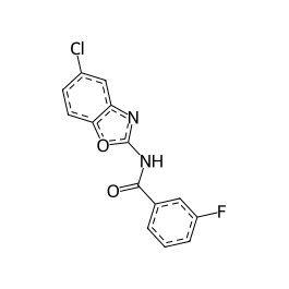 O=C(Nc1nc2cc(Cl)ccc2o1)c1cccc(F)c1